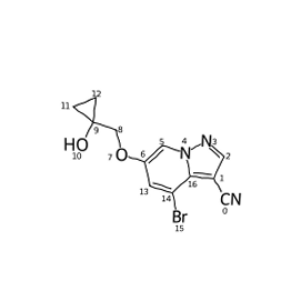 N#Cc1cnn2cc(OCC3(O)CC3)cc(Br)c12